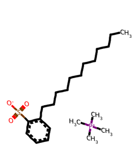 CCCCCCCCCCCCc1ccccc1S(=O)(=O)[O-].C[P+](C)(C)C